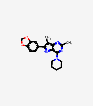 Cc1nc(N2CCCCC2)c2[nH]c(-c3ccc4c(c3)OCO4)c(C)c2n1